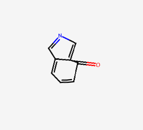 O=C1C=CC=C2C=NC=C12